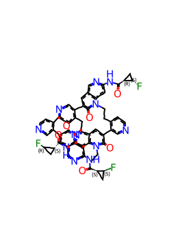 CCn1c(=O)c(-c2cnccc2CCn2c(=O)c(-c3cnccc3CCn3c(=O)c(-c4cnccc4C)cc4cnc(NC(=O)[C@@H]5C[C@@H]5F)cc43)cc3cnc(NC(=O)[C@H]4C[C@@H]4F)cc32)cc2cnc(NC(=O)[C@@H]3C[C@H]3F)cc21